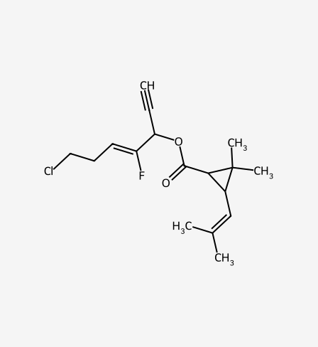 C#CC(OC(=O)C1C(C=C(C)C)C1(C)C)C(F)=CCCCl